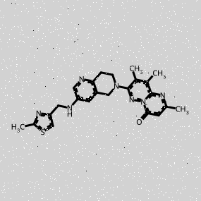 Cc1cc(=O)n2nc(N3CCc4ncc(NCc5csc(C)n5)cc4C3)c(C)c(C)c2n1